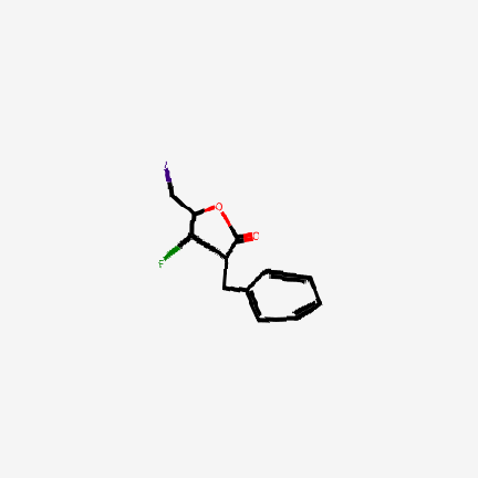 O=C1OC(CI)C(F)C1Cc1ccccc1